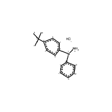 CC(C)(C)c1ccc(N(N)c2ccccc2)cc1.Cl